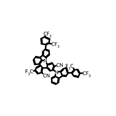 N#Cc1cc(C(F)(F)F)ccc1-c1cc(-n2c3ccccc3c3cc(-c4ccc(C(F)(F)F)cc4C(F)(F)F)ccc32)c(C#N)cc1-n1c2ccccc2c2cc(-c3ccc(C(F)(F)F)cc3C(F)(F)F)ccc21